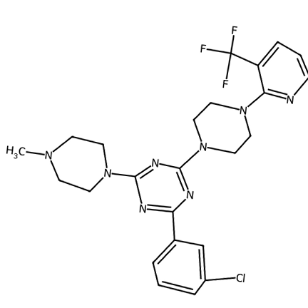 CN1CCN(c2nc(-c3cccc(Cl)c3)nc(N3CCN(c4ncccc4C(F)(F)F)CC3)n2)CC1